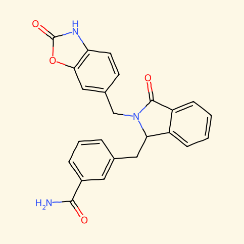 NC(=O)c1cccc(CC2c3ccccc3C(=O)N2Cc2ccc3[nH]c(=O)oc3c2)c1